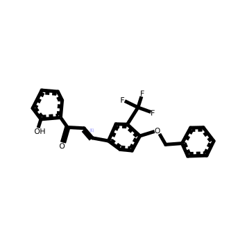 O=C(/C=C/c1ccc(OCc2ccccc2)c(C(F)(F)F)c1)c1ccccc1O